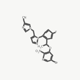 CC(Oc1cc(Br)cnc1[N+](=O)[O-])c1cc(F)ccc1-n1nccc1Cn1cnc(C#N)c1